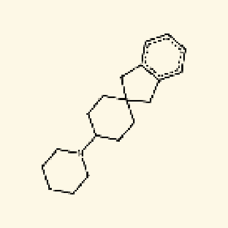 c1ccc2c(c1)CC1(CCC(N3CCCCC3)CC1)C2